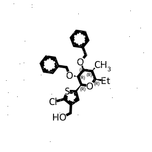 CC[C@H]1O[C@@H](c2cc(CO)c(Cl)s2)[C@H](OCc2ccccc2)[C@@H](OCc2ccccc2)[C@@H]1C